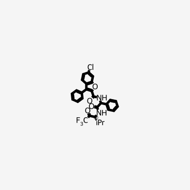 CC(C)[C@H](NC(=O)C(NC(=O)c1oc2cc(Cl)ccc2c1-c1ccccc1)c1ccccc1)C(=O)C(F)(F)F